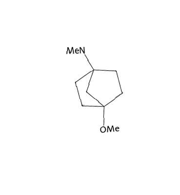 CNC12CCC(OC)(CC1)C2